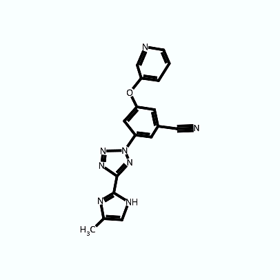 Cc1c[nH]c(-c2nnn(-c3cc(C#N)cc(Oc4cccnc4)c3)n2)n1